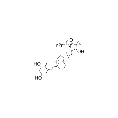 C=C1/C(=C\C=C2/CCC[C@]3(C)[C@@H](C(C)(C)/C=C/[C@H](O)C4(c5nc(CCC)co5)CC4)CC[C@@H]23)C[C@@H](O)C[C@@H]1O